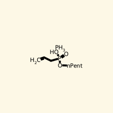 C=CCP(=O)(O)OCCCCC.P